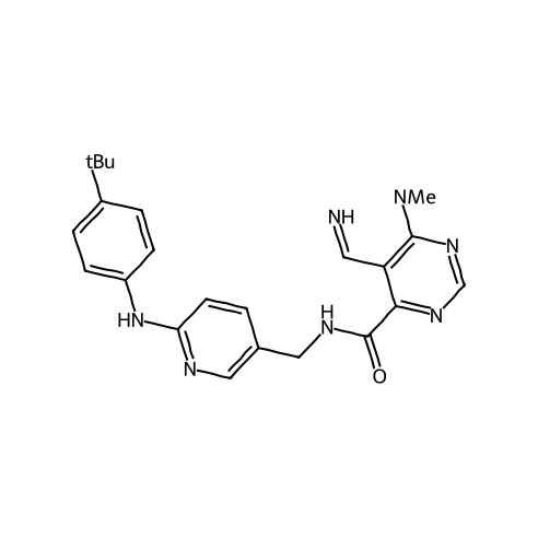 CNc1ncnc(C(=O)NCc2ccc(Nc3ccc(C(C)(C)C)cc3)nc2)c1C=N